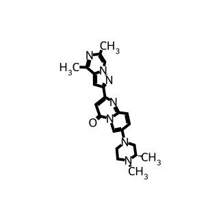 Cc1cn2nc(-c3cc(=O)n4cc(N5CCN(C)[C@@H](C)C5)ccc4n3)cc2c(C)n1